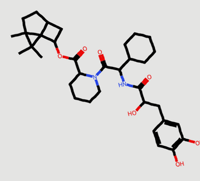 CC1(C)C2(C)CCC3CC(OC(=O)C4CCCCN4C(=O)C(NC(=O)C(O)Cc4ccc(O)c(O)c4)C4CCCCC4)C312